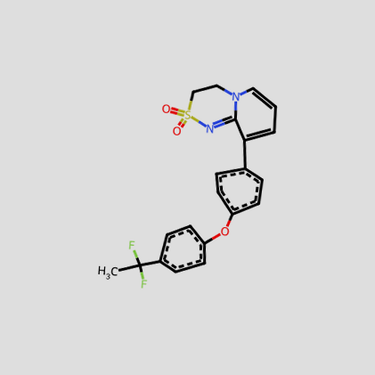 CC(F)(F)c1ccc(Oc2ccc(C3=CC=CN4CCS(=O)(=O)N=C34)cc2)cc1